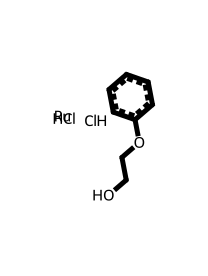 Cl.Cl.OCCOc1ccccc1.[Ru]